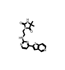 CC1(C)NC(=O)N(CCNc2nccc(-c3cc4cnccc4s3)n2)C1=O